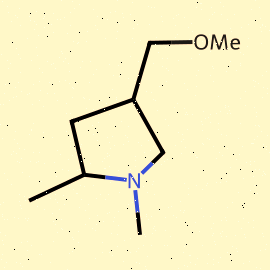 COCC1CC(C)N(C)C1